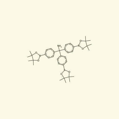 CC1(C)OB(c2ccc(C(N)(c3ccc(B4OC(C)(C)C(C)(C)O4)cc3)c3ccc(B4OC(C)(C)C(C)(C)O4)cc3)cc2)OC1(C)C